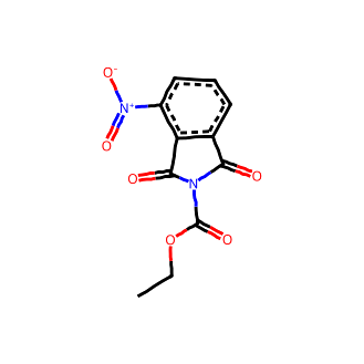 CCOC(=O)N1C(=O)c2cccc([N+](=O)[O-])c2C1=O